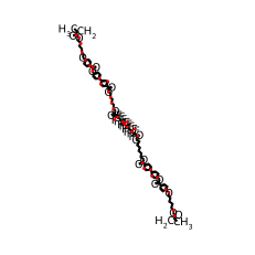 C=C(C)C(=O)OCCCCCCOc1ccc(C(=O)Oc2ccc(-c3ccc(C(=O)OCCCCCCOC(=O)C(F)(F)C(F)(F)C(F)(F)C(F)(F)C(F)(F)C(F)(F)C(F)(F)C(F)(F)C(=O)OCCCCCCOC(=O)c4ccc(-c5ccc(OC(=O)c6ccc(OCCCCCCOC(=O)C(=C)C)cc6)cc5)cc4)cc3)cc2)cc1